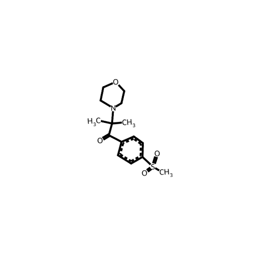 CC(C)(C(=O)c1ccc(S(C)(=O)=O)cc1)N1CCOCC1